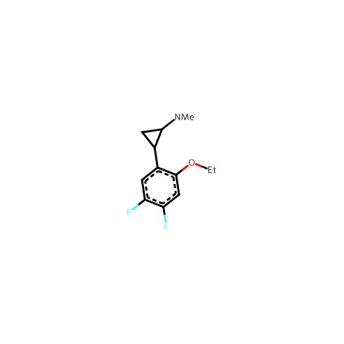 CCOc1cc(F)c(F)cc1C1CC1NC